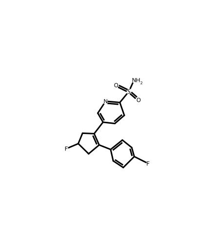 NS(=O)(=O)c1ccc(C2=C(c3ccc(F)cc3)CC(F)C2)cn1